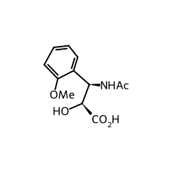 COc1ccccc1[C@@H](NC(C)=O)[C@H](O)C(=O)O